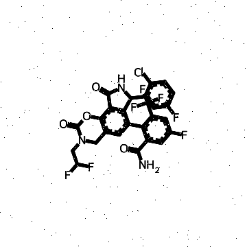 NC(=O)c1cc(F)cc(C(F)(F)F)c1-c1cc2c(c3c1C(c1cc(F)ccc1Cl)NC3=O)OC(=O)N(CC(F)F)C2